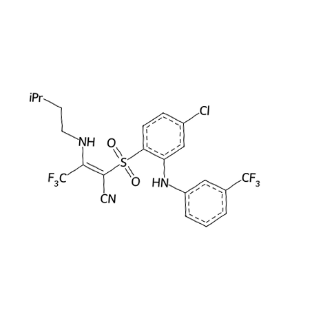 CC(C)CCNC(=C(C#N)S(=O)(=O)c1ccc(Cl)cc1Nc1cccc(C(F)(F)F)c1)C(F)(F)F